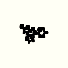 O=C1CC(C2OCCO2)=C(COC2CCCCO2)O1